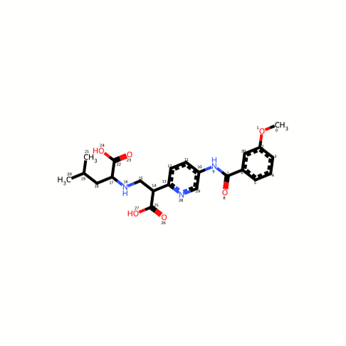 COc1cccc(C(=O)Nc2ccc(C(CNC(CC(C)C)C(=O)O)C(=O)O)nc2)c1